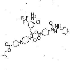 CC(C)COC(=O)c1ccc(N2CCN(C(=O)[C@@H](Cc3cc(Cl)c(N)c(C(F)(F)F)c3)OC(=O)N3CCC(n4nc(-c5ccccc5)[nH]c4=O)CC3)CC2)cc1